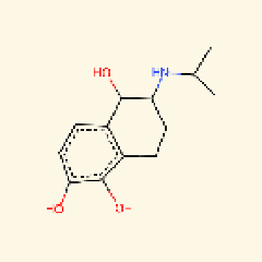 CC(C)NC1CCc2c(ccc(O)c2O)C1O